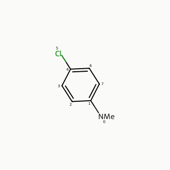 [CH]Nc1ccc(Cl)cc1